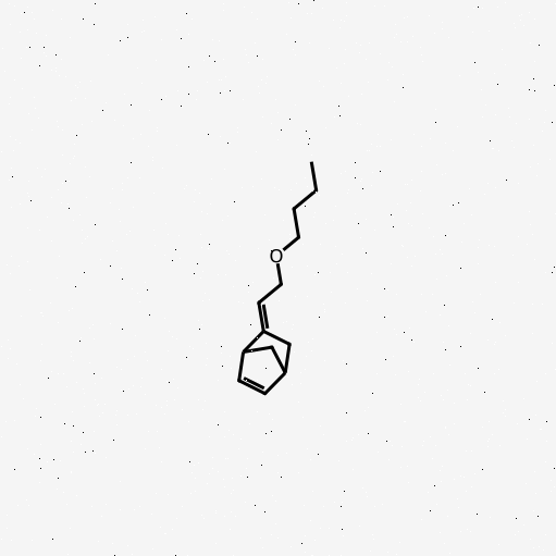 CCCCOCC=C1CC2C=CC1C2